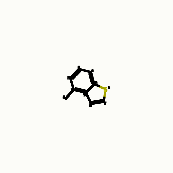 Cc1cccc2sc[c]c12